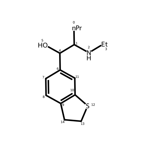 CCCC(NCC)C(O)c1ccc2c(c1)SCC2